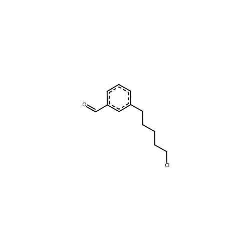 O=Cc1cccc(CCCCCCl)c1